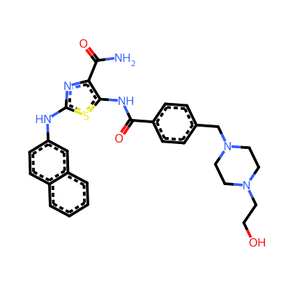 NC(=O)c1nc(Nc2ccc3ccccc3c2)sc1NC(=O)c1ccc(CN2CCN(CCO)CC2)cc1